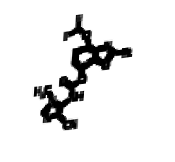 CCc1nc2c(OC(F)F)ccc(OC(=O)Nc3c(C#N)ncn3C)c2o1